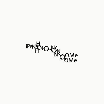 COc1ccc(-c2nc3c(C)nc(-c4ccc(N5C[C@@H]6CN(C(C)C)C[C@@H]6C5)cc4)cc3n2C)cc1OC